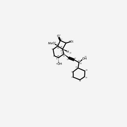 CCC1C(=O)[C@@]2(OC)CC[C@@H](O)[C@H](C#C[C@@H](O)C3CCCCC3)[C@@H]12